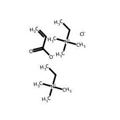 C=CC(=O)[O-].CC[N+](C)(C)C.CC[N+](C)(C)C.[Cl-]